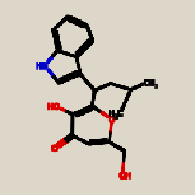 CC(C)CC(c1oc(CO)cc(=O)c1O)c1c[nH]c2ccccc12